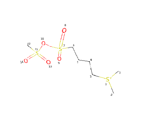 C[S+](C)CCCCS(=O)(=O)OS(C)(=O)=O